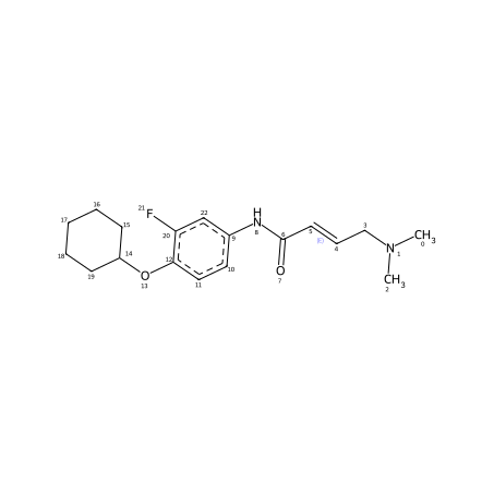 CN(C)C/C=C/C(=O)Nc1ccc(OC2CCCCC2)c(F)c1